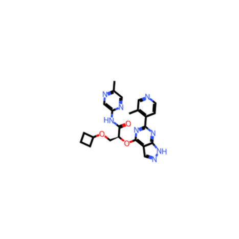 Cc1cnc(NC(=O)[C@H](COC2CCC2)Oc2nc(-c3ccncc3C)nc3[nH]ncc23)cn1